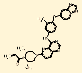 C=CC(=O)N1[C@H](C)CN(c2ccc3ncnc(Nc4ccc(Oc5ccn6ncnc6c5)c(C)c4)c3n2)C[C@@H]1C